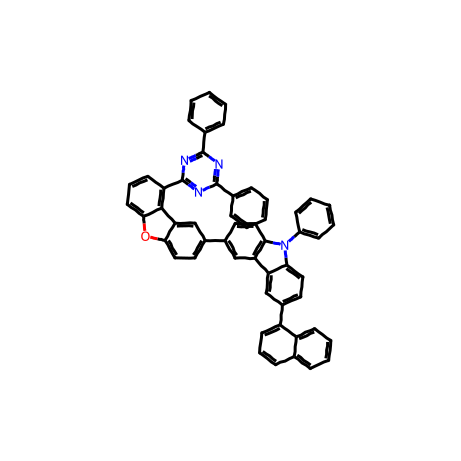 c1ccc(-c2nc(-c3ccccc3)nc(-c3cccc4oc5ccc(-c6ccc7c(c6)c6cc(-c8cccc9ccccc89)ccc6n7-c6ccccc6)cc5c34)n2)cc1